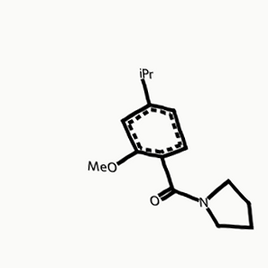 COc1cc(C(C)C)ccc1C(=O)N1CCCC1